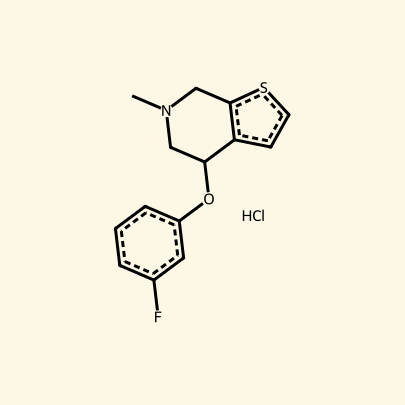 CN1Cc2sccc2C(Oc2cccc(F)c2)C1.Cl